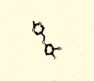 Cc1ncc(COc2ccc(F)c(Br)c2)cn1